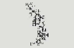 O=C(Nc1ccc(-n2c(=O)[nH]c3cc(N4CCCC4)ccc3c2=O)c(Cl)c1)NS(=O)(=O)c1ccc(Cl)s1